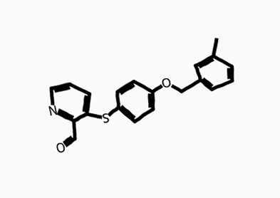 Cc1cccc(COc2ccc(Sc3cccnc3C=O)cc2)c1